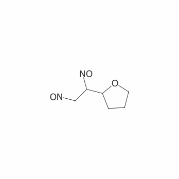 O=NCC(N=O)C1CCCO1